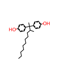 CCCCCCCCCC(C)C(C)(c1ccc(O)cc1)c1ccc(O)cc1